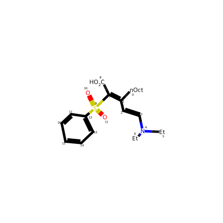 CCCCCCCCC(C=CN(CC)CC)=C(C(=O)O)S(=O)(=O)c1ccccc1